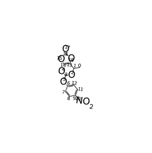 CC(OC(=O)Oc1ccc([N+](=O)[O-])cc1)c1coc(=O)o1